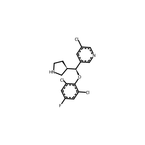 Fc1cc(Cl)c(O[C@H](c2cncc(Cl)c2)[C@@H]2CCNC2)c(Cl)c1